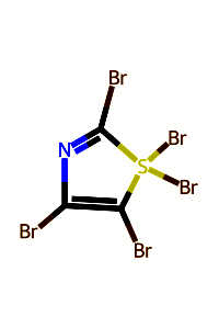 BrC1=NC(Br)=C(Br)S1(Br)Br